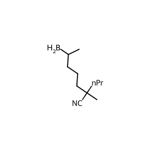 BC(C)CCCC(C)(C#N)CCC